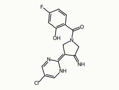 N=C1CN(C(=O)c2ccc(F)cc2O)C/C1=C1\N=CC(Cl)=CN1